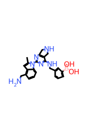 Cc1cc2c(CN)cccc2n1-c1nc2c(c(NCc3cccc(B(O)O)c3)n1)CNC2